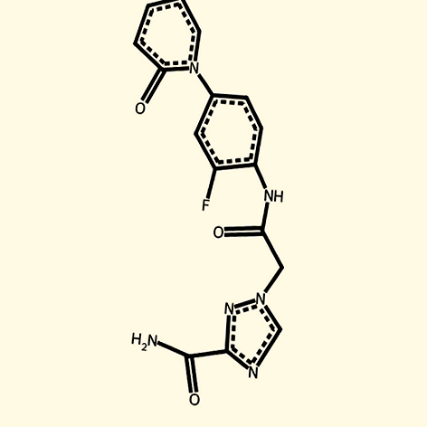 NC(=O)c1ncn(CC(=O)Nc2ccc(-n3ccccc3=O)cc2F)n1